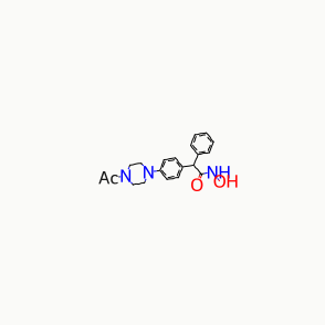 CC(=O)N1CCN(c2ccc(C(C(=O)NO)c3ccccc3)cc2)CC1